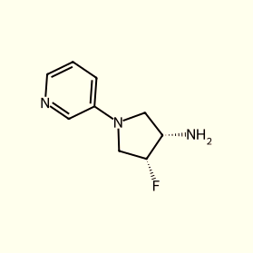 N[C@H]1CN(c2cccnc2)C[C@H]1F